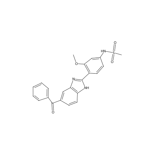 COc1cc(NS(C)(=O)=O)ccc1-c1nc2cc(C(=O)c3ccccc3)ccc2[nH]1